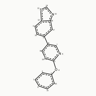 c1ccc(Oc2ncc(-c3ccc4scnc4c3)cn2)cc1